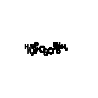 NC(=O)N(N)c1ccc2c(c1)oc1ccc(N(N)C(N)=O)cc12